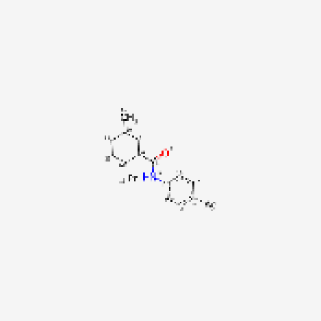 CC(=O)c1ccc(NC(=O)C2CC(C)CCC2C(C)C)cc1